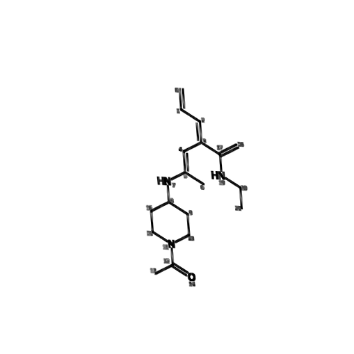 C=C/C=C(\C=C(/C)NC1CCN(C(C)=O)CC1)C(=C)NCC